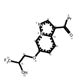 CC(C)C(=O)c1cnn2cc(OCC(O)C(F)(F)F)ccc12